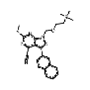 CSc1nc(C#N)c2c(-c3ccc4ccccc4c3)nn(COCC[Si](C)(C)C)c2n1